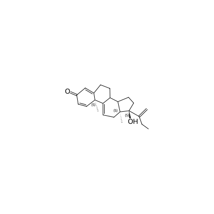 C=C(CC)[C@@]1(O)CCC2C3CCC4=CC(=O)C=C[C@]4(C)C3=CC[C@@]21C